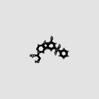 CC(CO)N1CCc2oc3c(Cl)cc(S(=O)(=O)c4ccccc4)cc3c2C1